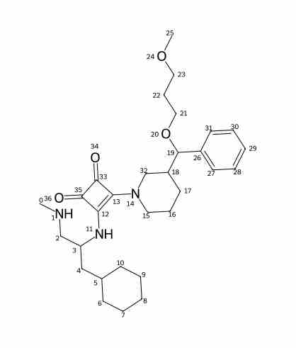 CNCC(CC1CCCCC1)Nc1c(N2CCCC(C(OCCCOC)c3ccccc3)C2)c(=O)c1=O